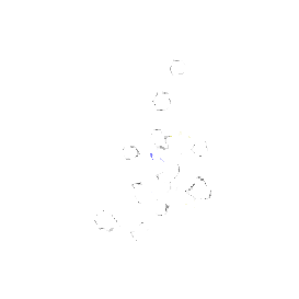 c1ccc(-c2ccc(Oc3cc4c5c(c3)N(c3ccccc3)c3cc6c(cc3B5c3ccccc3S4)B3c4ccccc4Sc4cc(Oc5ccc(-c7ccccc7)cc5)cc(c43)N6c3ccccc3)cc2)cc1